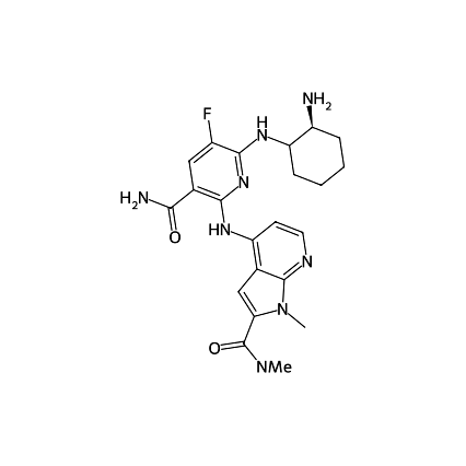 CNC(=O)c1cc2c(Nc3nc(NC4CCCC[C@@H]4N)c(F)cc3C(N)=O)ccnc2n1C